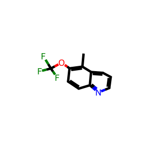 Cc1c(OC(F)(F)F)ccc2ncccc12